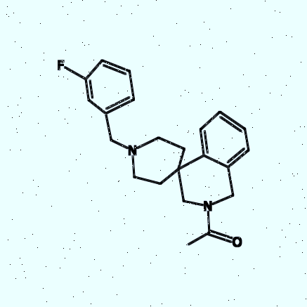 CC(=O)N1Cc2ccccc2C2(CCN(Cc3cccc(F)c3)CC2)C1